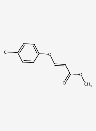 COC(=O)/C=C/Oc1ccc(Cl)cc1